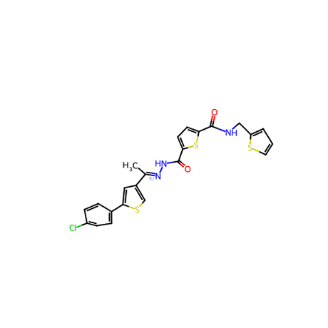 C/C(=N\NC(=O)c1ccc(C(=O)NCc2cccs2)s1)c1csc(-c2ccc(Cl)cc2)c1